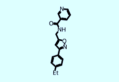 CCc1ccc(-c2cc(CNC(=O)c3cccnc3)on2)cc1